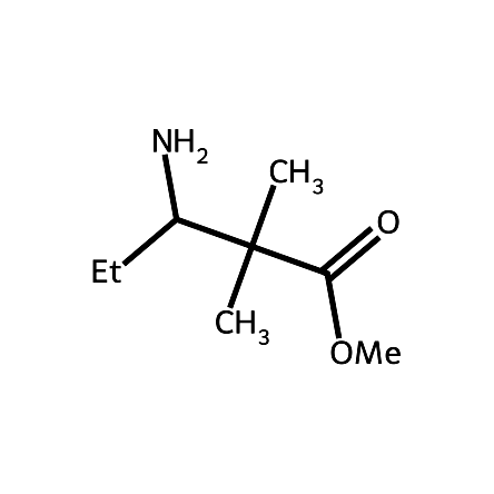 CCC(N)C(C)(C)C(=O)OC